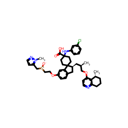 C[C@@H](COc1ccnc2c1[C@H](C)CCC2)C[C@H]1Cc2ccc(OCC[S+]([O-])Cc3ccnn3C)cc2C12CCC(Nc1cccc(Cl)c1)(C(=O)O)CC2